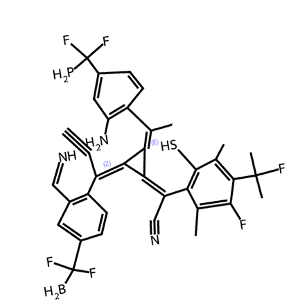 BC(F)(F)c1ccc(/C(C#C)=C2\C(=C(C#N)c3c(C)c(F)c(C(C)(C)F)c(C)c3S)\C2=C(/C)c2ccc(C(F)(F)P)cc2N)c(C=N)c1